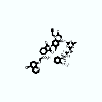 C#CCN1C(=O)COc2cc(F)c(N3C(=O)C4=C(CCCC4)C3=O)cc21.COc1nc(C)nc(NC(=O)NS(=O)(=O)c2ccccc2C(=O)O)n1.O=C(O)COc1ccc(Cl)c2cccnc12